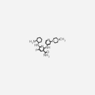 CN1CCN(c2cc(Nc3nc(NC4CCCC[C@@H]4N)c(F)cc3C(N)=O)ccn2)CC1